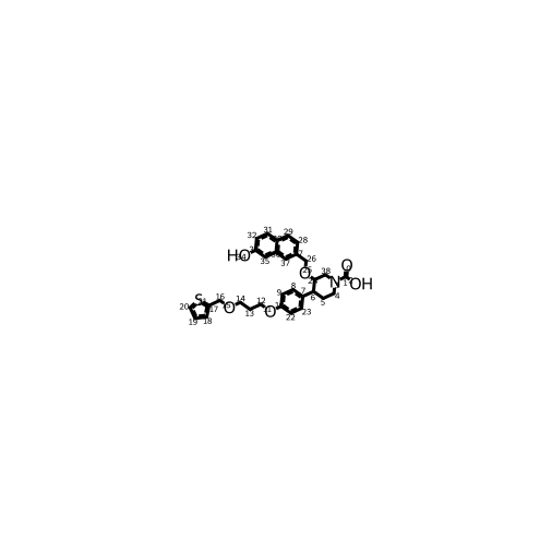 O=C(O)N1CCC(c2ccc(OCCCOCc3cccs3)cc2)C(OCc2ccc3ccc(O)cc3c2)C1